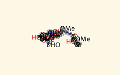 COC(C(=O)[C@H](C)C[C@H](C)/C=C/C=C/C=C(\C)[C@H](C[C@@H]1CC[C@@H](C)[C@](O)(C(=O)C(=O)N2CCCC3[C@H](C[C@@H]4CC[C@@H](O)[C@H](OC)C4)C(CC(=O)[C@H](C)/C=C(\C)C=O)OC(=O)[C@H]32)O1)OC)C(O)c1ccccc1